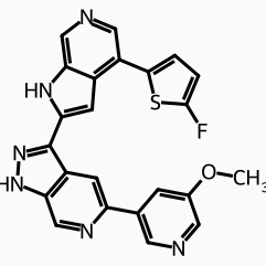 COc1cncc(-c2cc3c(-c4cc5c(-c6ccc(F)s6)cncc5[nH]4)n[nH]c3cn2)c1